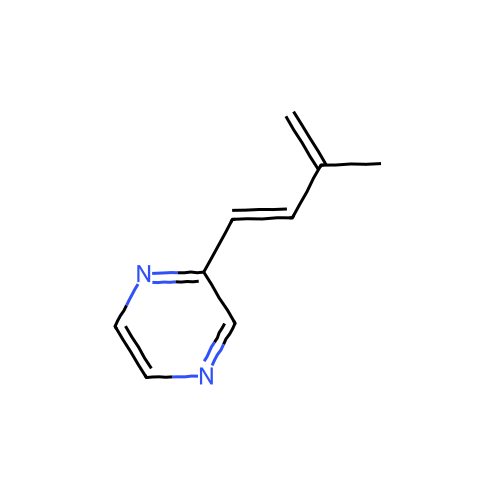 C=C(C)C=Cc1cnccn1